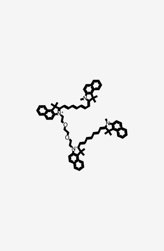 CN1C(=CC=CC=CC=CC2=[N+](CCOCCOCC[N+]3=C(C=CC=CC=CC=C4N(C)c5ccc6ccccc6c5C4(C)C)C(C)(C)c4c3ccc3ccccc43)c3ccc4ccccc4c3C2(C)C)C(C)(C)c2c1ccc1ccccc21